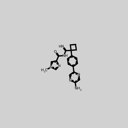 Cn1cnc(C(=O)NC(=N)C2(c3ccc(-c4cnc(N)cn4)cc3)CCC2)c1